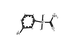 CC(C)c1cccc([N+](C)(C)C(N)=O)c1